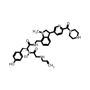 C=CCNCC(=O)N(CC)[C@@H](Cc1ccc(O)cc1)C(=O)NCc1cccc2c1N(C)CC2c1ccc(C(=O)N2CCNCC2)nc1